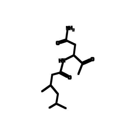 CC(=O)C(CC(N)=O)NC(=O)CC(C)CC(C)C